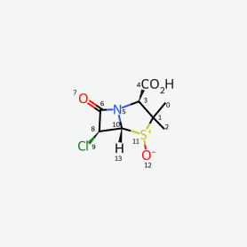 CC1(C)[C@H](C(=O)O)N2C(=O)[C@H](Cl)[C@H]2[S+]1[O-]